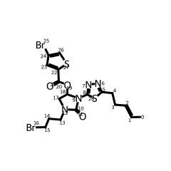 CC=CCCc1nnc(N2C(=O)N(CCCBr)CC2OC(=O)c2cc(Br)cs2)s1